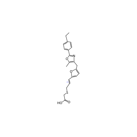 CCc1ccc(-c2nc(Cc3ccc(/C=C/CSCC(=O)O)o3)c(C)o2)cc1